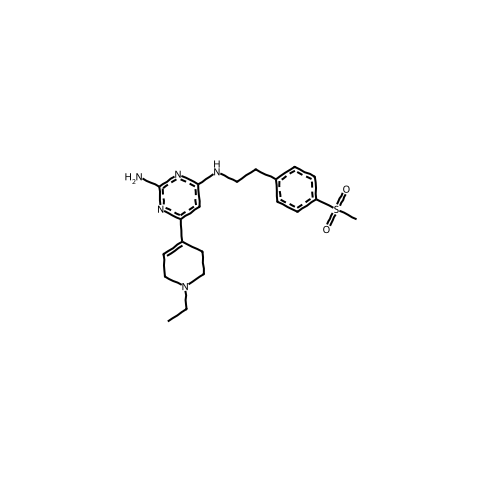 CCN1CC=C(c2cc(NCCc3ccc(S(C)(=O)=O)cc3)nc(N)n2)CC1